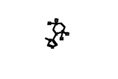 CC[Si]1(CC)CC[Si](CC)(CC)N(c2cncn2C)C1